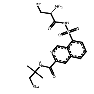 CC(C)C[C@H](N)C(=O)NS(=O)(=O)c1cccc2cc(C(=O)NC(C)(C)CC(C)(C)C)ncc12